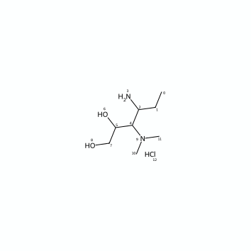 CCC(N)C(C(O)CO)N(C)C.Cl